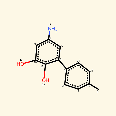 Cc1ccc(-c2cc(N)cc(O)c2O)cc1